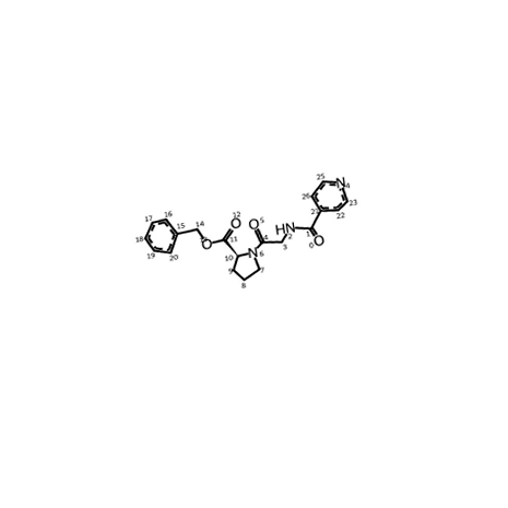 O=C(NCC(=O)N1CCC[C@H]1C(=O)OCc1ccccc1)c1ccncc1